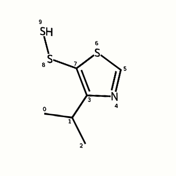 CC(C)c1ncsc1SS